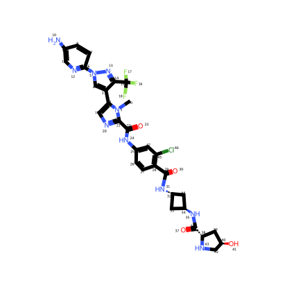 Cn1c(-c2cn(-c3ccc(N)cn3)nc2C(F)(F)F)cnc1C(=O)Nc1ccc(C(=O)N[C@H]2C[C@H](NC(=O)[C@@H]3C[C@@H](O)CN3)C2)c(Cl)c1